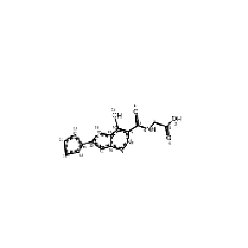 O=C(O)CNC(=O)c1ncc2cc(-c3cccs3)sc2c1O